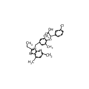 CCc1nc2c(C)cc(C)nc2n1Cc1cc(C)c(OC(C(=O)O)c2cccc(Cl)c2)c(C)c1